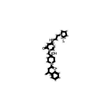 CC(CC(=O)N1CCC(O)(Cn2cnc(NCCN3CCC[C@@H]3C)cc2=O)CC1)c1ccccc1